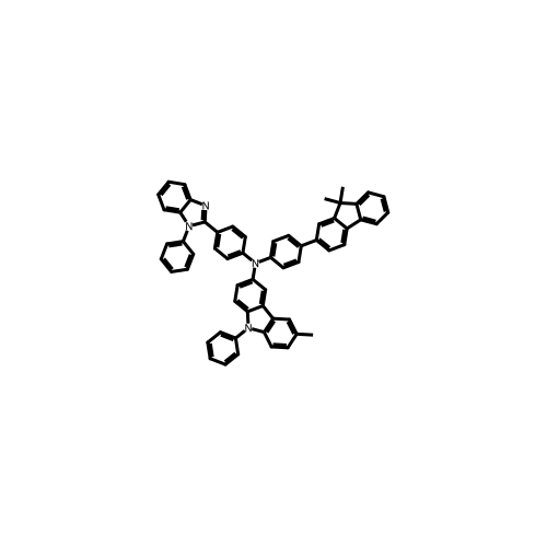 Cc1ccc2c(c1)c1cc(N(c3ccc(-c4ccc5c(c4)C(C)(C)c4ccccc4-5)cc3)c3ccc(-c4nc5ccccc5n4-c4ccccc4)cc3)ccc1n2-c1ccccc1